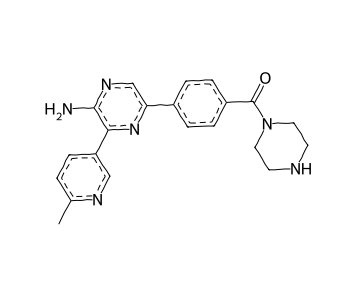 Cc1ccc(-c2nc(-c3ccc(C(=O)N4CCNCC4)cc3)cnc2N)cn1